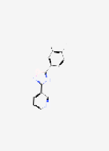 Cc1ccc(-c2nc(-c3cccnc3)no2)cc1C